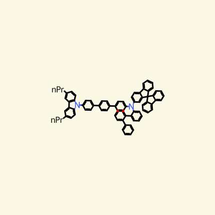 CCCc1ccc2c(c1)c1cc(CCC)ccc1n2-c1ccc(-c2ccc(-c3ccc(N(c4ccc5c(c4)C4(c6ccccc6-c6ccccc64)c4ccccc4-5)c4ccccc4-c4ccccc4-c4ccccc4)cc3)cc2)cc1